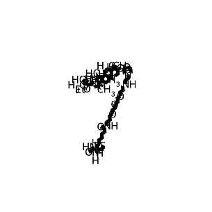 CCO[C@@H]([C@H]1C[C@@H](C)[C@H]2[C@H](O1)[C@H](O)[C@@]1(C)[C@@H]3CC[C@H]4C(C)(C)C(O[C@H]5CN(CCNCCCOCCOCCOCCCNC(=O)CCCCC6SC[C@@H]7NC(=O)N[C@H]67)CCO5)CC[C@@]45CC35CC[C@]21C)C(C)(C)O